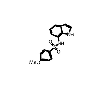 COc1ccc(S(=O)(=O)Nc2cccc3cc[nH]c23)cc1